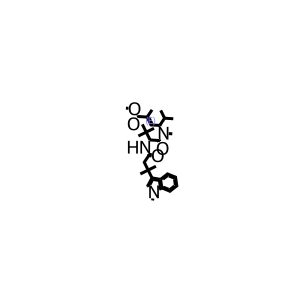 COC(=O)/C(C)=C/C(C(C)C)N(C)C(=O)C(NC(=O)CC(C)(C)c1cn(C)c2ccccc12)C(C)(C)C